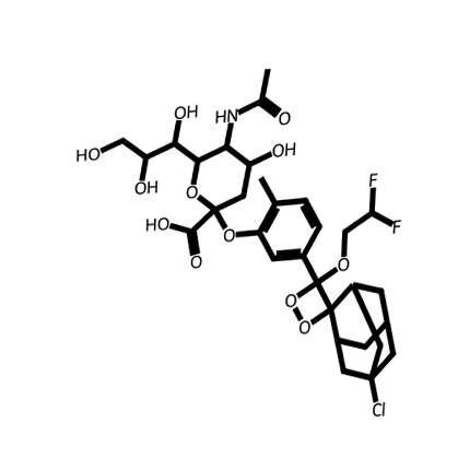 CC(=O)NC1C(O)CC(Oc2cc(C3(OCC(F)F)OOC34C3CC5CC4CC(Cl)(C5)C3)ccc2C)(C(=O)O)OC1C(O)C(O)CO